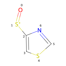 O=[S+]c1cscn1